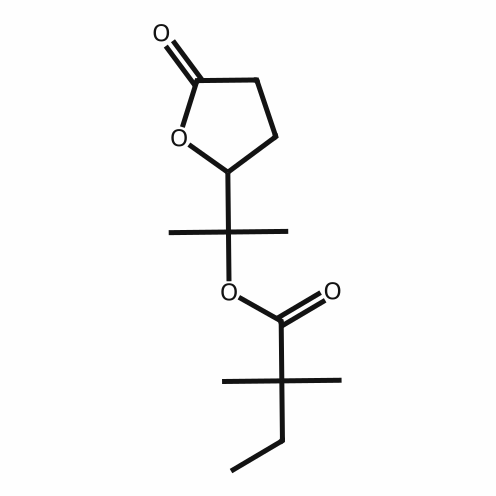 CCC(C)(C)C(=O)OC(C)(C)C1CCC(=O)O1